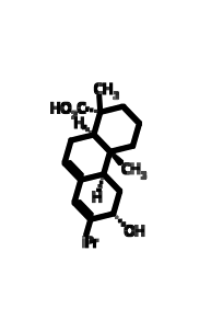 CC(C)C1=CC2=CC[C@@H]3[C@](C)(CCC[C@@]3(C)C(=O)O)[C@H]2C[C@@H]1O